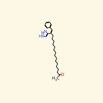 CC(=O)CCCCCCCCCCCCCCC(=Cc1ccccc1)c1c[nH]nn1